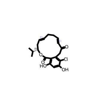 CC(C)[C@@H]1C/C=C/CC/C=C/C(=O)Cc2c(Cl)c(O)cc(O)c2C(=O)O1